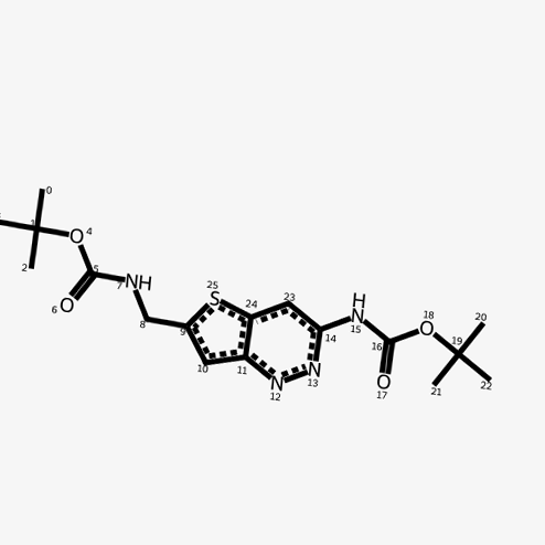 CC(C)(C)OC(=O)NCc1cc2nnc(NC(=O)OC(C)(C)C)cc2s1